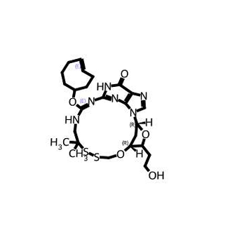 CC1(C)CN/C(OC2CC/C=C/CCC2)=N\c2nc3c(ncn3[C@H]3C[C@@H](OCSS1)C(CCO)O3)c(=O)[nH]2